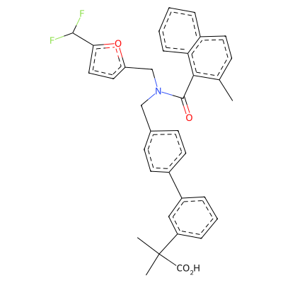 Cc1ccc2ccccc2c1C(=O)N(Cc1ccc(-c2cccc(C(C)(C)C(=O)O)c2)cc1)Cc1ccc(C(F)F)o1